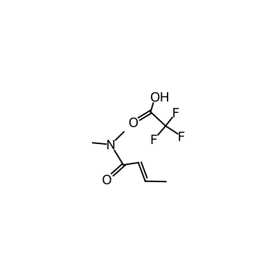 CC=CC(=O)N(C)C.O=C(O)C(F)(F)F